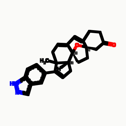 CC12CC=C3C=C4CCC(=O)C[C@]45CC[C@]3(O5)[C@@H]1CC=C2c1ccc2[nH]ncc2c1